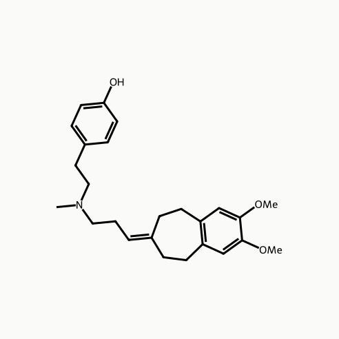 COc1cc2c(cc1OC)CCC(=CCCN(C)CCc1ccc(O)cc1)CC2